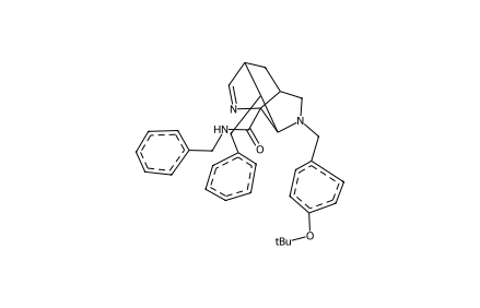 CC(C)(C)Oc1ccc(CN2CC3CC4C=NC3(C(=O)NCc3ccccc3)C2C4Cc2ccccc2)cc1